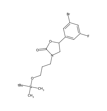 CC(C)(C)[Si](C)(C)OCCCN1CC(c2cc(F)cc(Br)c2)OC1=O